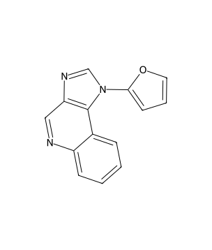 c1coc(-n2cnc3cnc4ccccc4c32)c1